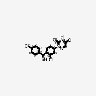 O=c1cnn(-c2ccc(C(S)c3ccc(Cl)cc3)c(Cl)c2)c(=O)[nH]1